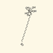 C1CO1.CCCCCCCCCCCCCCCCCC(=O)O[C@@H]([C@H](O)[C@@H](O)CO)[C@H](O)CO